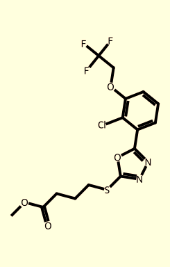 COC(=O)CCCSc1nnc(-c2cccc(OCC(F)(F)F)c2Cl)o1